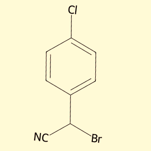 N#CC(Br)c1ccc(Cl)cc1